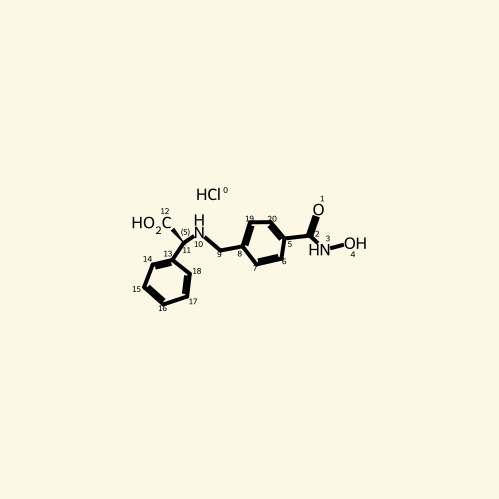 Cl.O=C(NO)c1ccc(CN[C@H](C(=O)O)c2ccccc2)cc1